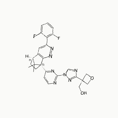 CC1(C)[C@H]2CC[C@]1(c1ccnc(-n3cnc(C4(CO)COC4)n3)n1)c1nnc(-c3c(F)cccc3F)cc12